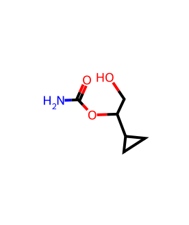 NC(=O)OC(CO)C1CC1